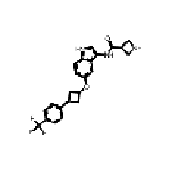 O=C(Nc1c[nH]c2ccc(OC3CC(c4ccc(C(F)(F)F)cc4)C3)cc12)C1CNC1